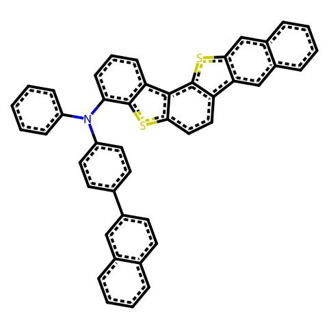 c1ccc(N(c2ccc(-c3ccc4ccccc4c3)cc2)c2cccc3c2sc2ccc4c5cc6ccccc6cc5sc4c23)cc1